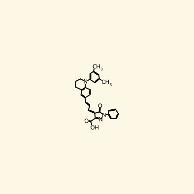 Cc1cc(C)cc(N2CCCc3cc(/C=C/C=C4\C(=O)N(c5ccccc5)N=C4C(=O)O)ccc32)c1